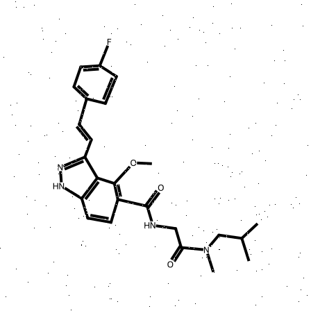 COc1c(C(=O)NCC(=O)N(C)CC(C)C)ccc2[nH]nc(/C=C/c3ccc(F)cc3)c12